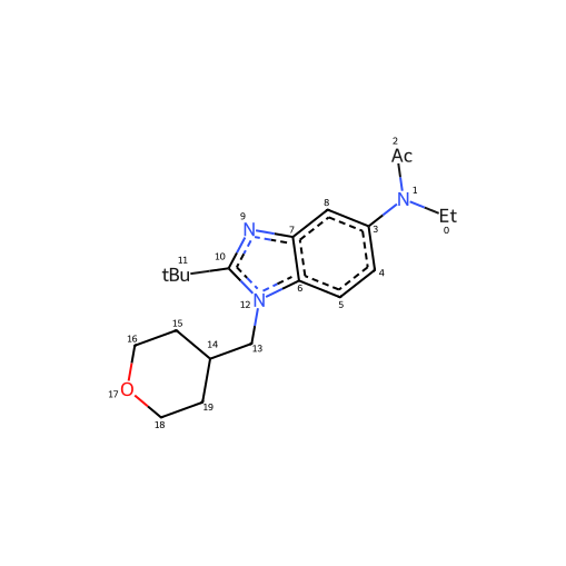 CCN(C(C)=O)c1ccc2c(c1)nc(C(C)(C)C)n2CC1CCOCC1